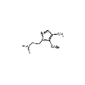 CNc1c(N)cnn1CCN(C)C